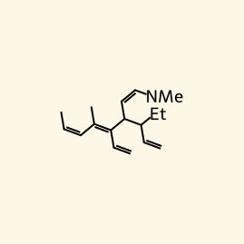 C=C/C(=C(C)\C=C/C)C(/C=C\NC)C(C=C)CC